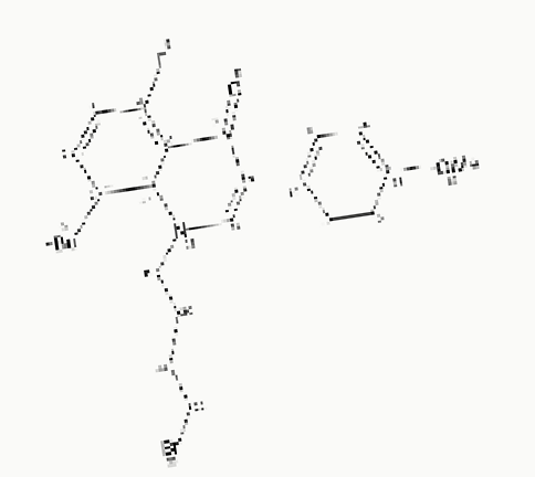 CCCCc1ccc(F)c2c(=O)c(-c3ccc(OC)cc3)cn(CCCCBr)c12